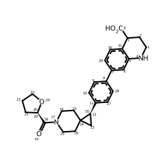 O=C(O)C1CCNc2cc(-c3ccc([C@H]4CC45CCN(C(=O)[C@H]4CCCO4)CC5)cc3)ccc21